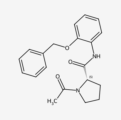 CC(=O)N1CCC[C@H]1C(=O)Nc1ccccc1OCc1ccccc1